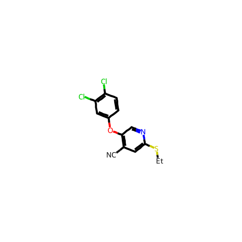 CCSc1cc(C#N)c(Oc2ccc(Cl)c(Cl)c2)cn1